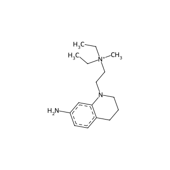 CC[N+](C)(CC)CCN1CCCc2ccc(N)cc21